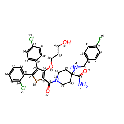 NC(=O)C1(NCc2ccc(F)cc2)CCN(C(=O)c2sc(-c3ccccc3Cl)c(-c3ccc(Cl)cc3)c2OCCCO)CC1